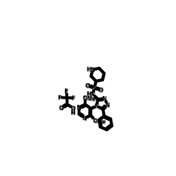 COc1ncnc(OC)c1-n1c(NS(=O)(=O)C2CCCNC2)nnc1-c1ccccc1.O=C(O)C(F)(F)F